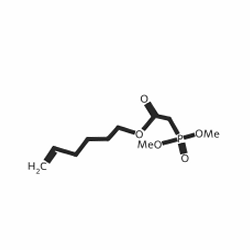 C=CCCCCOC(=O)CP(=O)(OC)OC